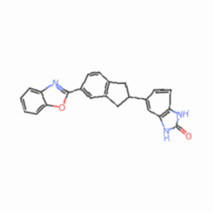 O=c1[nH]c2ccc(C3Cc4ccc(-c5nc6ccccc6o5)cc4C3)cc2[nH]1